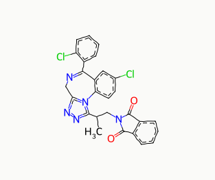 CC(CN1C(=O)c2ccccc2C1=O)c1nnc2n1-c1ccc(Cl)cc1C(c1ccccc1Cl)=NC2